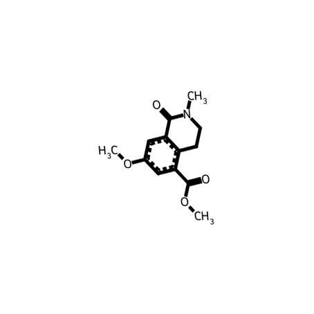 COC(=O)c1cc(OC)cc2c1CCN(C)C2=O